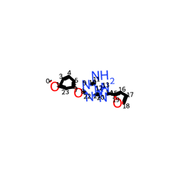 COc1cccc(Oc2nc(N)n3nc(-c4ccco4)nc3n2)c1